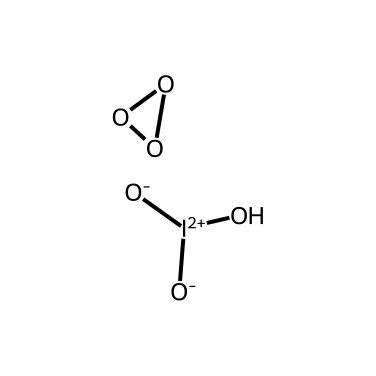 [O-][I+2]([O-])O.o1oo1